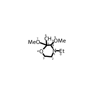 [CH2]CN1CCOC(C)(OC)C1OC